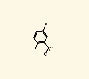 Cc1ccc(F)cc1[C@H](C)O